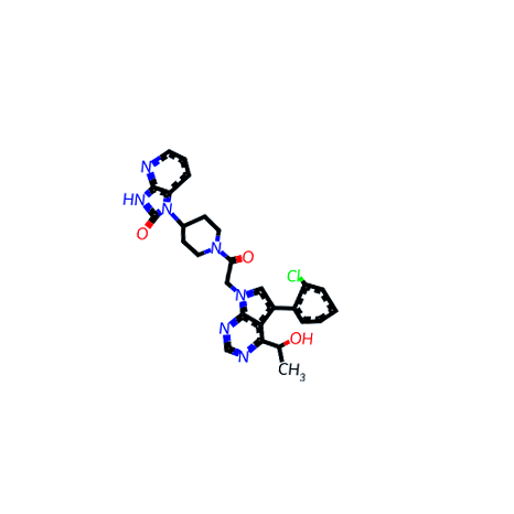 CC(O)c1ncnc2c1c(-c1ccccc1Cl)cn2CC(=O)N1CCC(n2c(=O)[nH]c3ncccc32)CC1